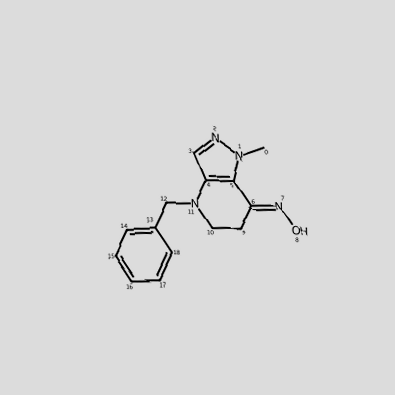 Cn1ncc2c1C(=NO)CCN2Cc1ccccc1